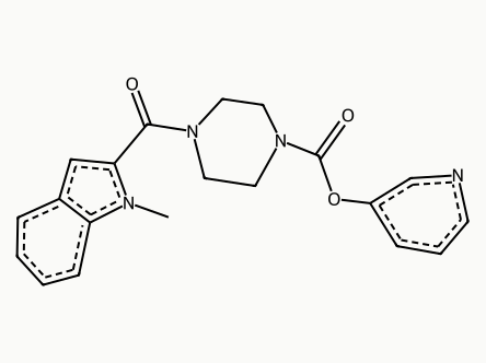 Cn1c(C(=O)N2CCN(C(=O)Oc3cccnc3)CC2)cc2ccccc21